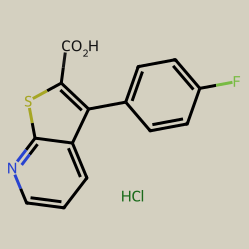 Cl.O=C(O)c1sc2ncccc2c1-c1ccc(F)cc1